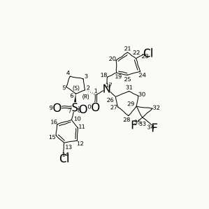 O=C([C@H]1CCC[C@@H]1S(=O)(=O)c1ccc(Cl)cc1)N(Cc1ccc(Cl)cc1)C1CCC2(CC1)CC2(F)F